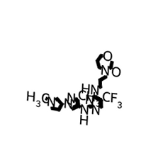 Cc1nn([C@@H]2CCN(C)C2)cc1Nc1ncc(C(F)(F)F)c(NCCCN2CCCOCC2=O)n1